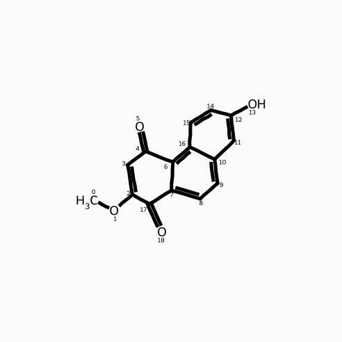 COC1=CC(=O)c2c(ccc3cc(O)ccc23)C1=O